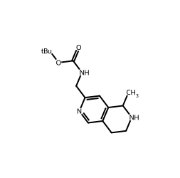 CC1NCCc2cnc(CNC(=O)OC(C)(C)C)cc21